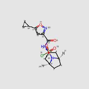 O=C(N[C@H]1C[C@H]2CC[C@@H](C1)N2S(=O)(=O)Cl)c1cc(C2CC2)on1